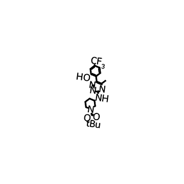 Cc1nc(N[C@H]2CCCN(C(=O)OC(C)(C)C)C2)nnc1-c1ccc(C(F)(F)F)cc1O